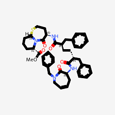 COC(=O)[C@@H]1CCC[C@@H]2SCC[C@H](NC(=O)[C@H](CC[C@H](Cc3ccccc3)C(=O)N[C@H]3CC=CCN(Cc4ccccc4)C3=O)Cc3ccccc3)C(=O)N21